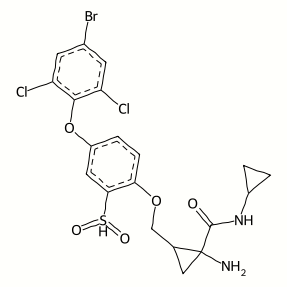 NC1(C(=O)NC2CC2)CC1COc1ccc(Oc2c(Cl)cc(Br)cc2Cl)cc1[SH](=O)=O